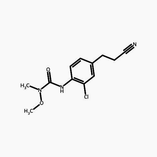 CON(C)C(=O)Nc1ccc(CCC#N)cc1Cl